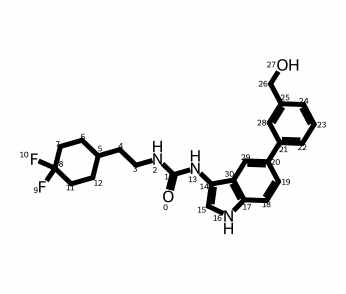 O=C(NCCC1CCC(F)(F)CC1)Nc1c[nH]c2ccc(-c3cccc(CO)c3)cc12